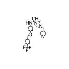 C=C(Nc1ccc(OCc2ccc(C(F)(F)F)cc2)cc1)N1CCN(Cc2ccncc2)CC1